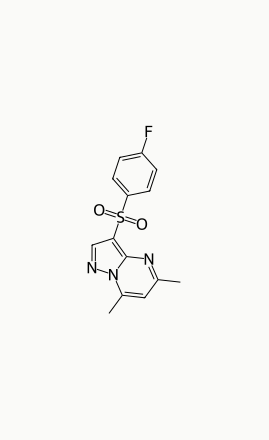 Cc1cc(C)n2ncc(S(=O)(=O)c3ccc(F)cc3)c2n1